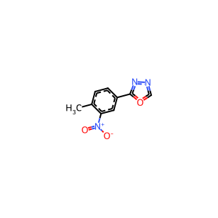 Cc1ccc(-c2nnco2)cc1[N+](=O)[O-]